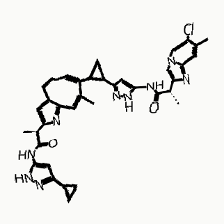 CC1=C/C2=NC([C@H](C)C(=O)Nc3cc(C4CC4)n[nH]3)=CC2CC/C=C\1C1CC1c1cc(NC(=O)[C@@H](C)c2cn3cc(Cl)c(C)cc3n2)[nH]n1